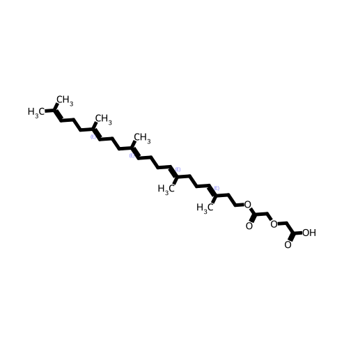 CC(C)=CCC/C(C)=C/CC/C(C)=C/CC/C=C(\C)CC/C=C(\C)CCOC(=O)COCC(=O)O